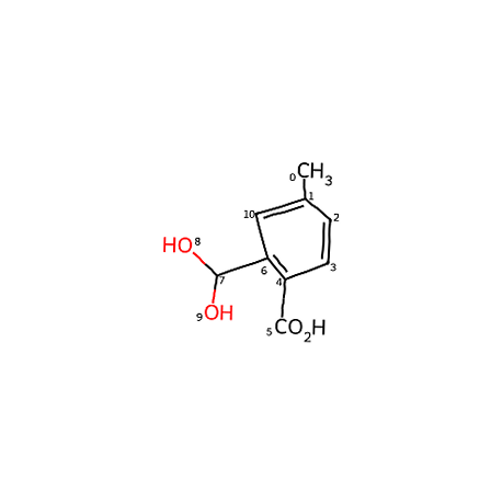 Cc1ccc(C(=O)O)c(C(O)O)c1